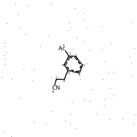 CC(=O)c1cccc(CCC#N)c1